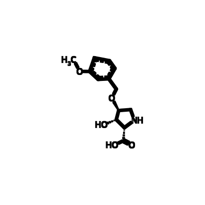 COc1cccc(CO[C@H]2CN[C@H](C(=O)O)[C@@H]2O)c1